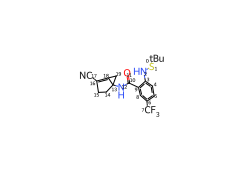 CC(C)(C)SNc1ccc(C(F)(F)F)cc1C(=O)NC12CCC(C#N)=C1C2